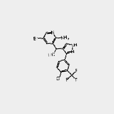 Nc1ncc(Br)cc1C(O)c1c[nH]nc1-c1ccc(Cl)c(C(F)(F)F)c1